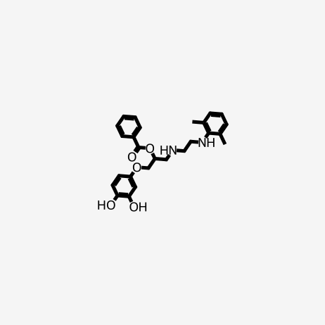 Cc1cccc(C)c1NCCNCC(COc1ccc(O)c(O)c1)OC(=O)c1ccccc1